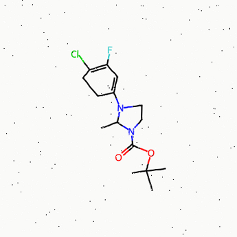 CC1N(C(=O)OC(C)(C)C)CCN1C1=CC(F)=C(Cl)CC1